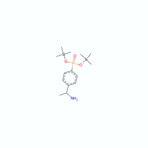 CC(N)c1ccc(P(=O)(O[Si](C)(C)C)O[Si](C)(C)C)cc1